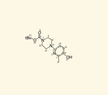 Cc1nc(N2CCN(C(=O)OC(C)(C)C)CC2)ccc1O